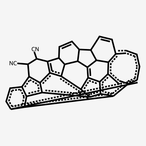 N#CC1C2=c3c4c5c6c7c8cc9c(cccc%10c8C8C=6C6C(C=CC2C46)C8C=C%10)c2ccc4c(c3c3c4c2c9c7c53)C1C#N